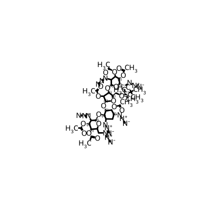 CC(=O)OC1[C@H](O[C@@H]2C(OC(C)=O)[C@H](N=[N+]=[N-])CC(N=[N+]=[N-])[C@H]2O[C@H]2OC(CN=[N+]=[N-])[C@@H](OC(C)=O)[C@H](OC(C)=O)C2N=[N+]=[N-])O[C@H](CO[Si](C)(C)C(C)(C)C)[C@@H]1O[C@H]1O[C@@H](CN=[N+]=[N-])[C@@H](OC(C)=O)C(OC(C)=O)C1N=[N+]=[N-]